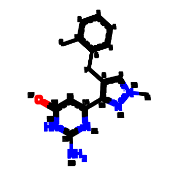 Cc1ccccc1Cc1cn(C)nc1-c1cc(=O)[nH]c(N)n1